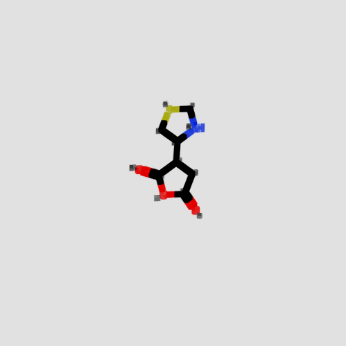 O=C1CC(C2CSCN2)C(=O)O1